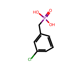 O=P(O)(O)Cc1[c]ccc(Cl)c1